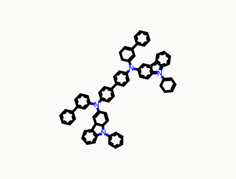 C1=CCCC(n2c3ccccc3c3cc(N(C4=CC(c5ccccc5)=CCC4)c4ccc(-c5ccc(N(C6=CC7c8ccccc8N(c8ccccc8)C7C=C6)c6cccc(-c7ccccc7)c6)cc5)cc4)ccc32)=C1